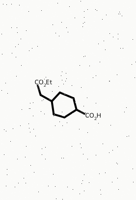 CCOC(=O)CC1CCC(C(=O)O)CC1